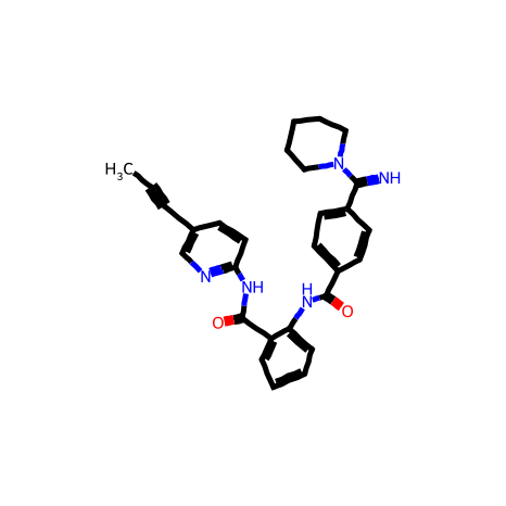 CC#Cc1ccc(NC(=O)c2ccccc2NC(=O)c2ccc(C(=N)N3CCCCC3)cc2)nc1